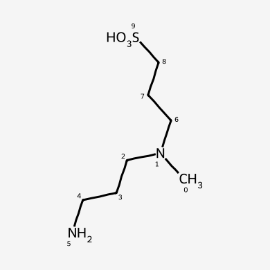 CN(CCCN)CCCS(=O)(=O)O